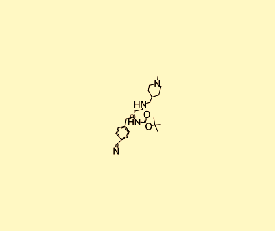 CN1CCC(CNCC[C@@H](Cc2ccc(C#N)cc2)NC(=O)OC(C)(C)C)CC1